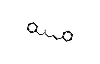 C(=Cc1ccccc1)CNCc1ccccc1